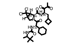 CC(=O)C(=O)[C@@H](CC1CCC1)NC(=O)[C@@H]1[C@@H]2[C@H](CN1C(=O)[C@@H](NC(=O)NC(C)C(C)(C)C)C1CCCCC1)C2(Cl)Cl